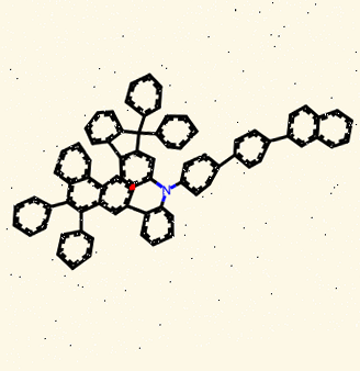 c1ccc(-c2c(-c3ccccc3)c3cc(-c4ccccc4N(c4ccc(-c5ccc(-c6ccc7ccccc7c6)cc5)cc4)c4ccc5c(c4)C(c4ccccc4)(c4ccccc4)c4ccccc4-5)ccc3c3ccccc23)cc1